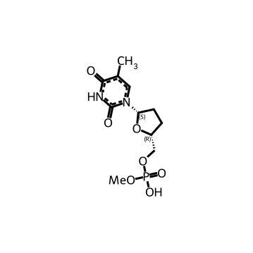 COP(=O)(O)OC[C@H]1CC[C@@H](n2cc(C)c(=O)[nH]c2=O)O1